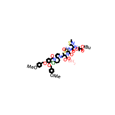 BOC(=O)C1=C(C[n+]2cccc3c2CCCCN3C(=O)c2ccc(OCc3ccc(OC)cc3)c(OCc3ccc(OC)cc3)c2Cl)C[S+]([O-])[C@@H]2[C@H](NC(=O)/C(=N\OC(C)(C)C(=O)OC(C)(C)C)c3csc(C)n3)C(=O)N12